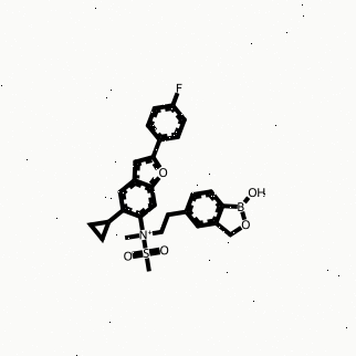 C[N+](CCc1ccc2c(c1)COB2O)(c1cc2oc(-c3ccc(F)cc3)cc2cc1C1CC1)S(C)(=O)=O